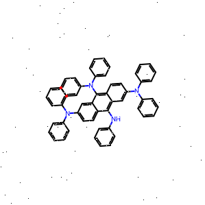 c1ccc(Nc2c3cc(N(c4ccccc4)c4ccccc4)ccc3c(N(c3ccccc3)c3ccccc3)c3cc(N(c4ccccc4)c4ccccc4)ccc23)cc1